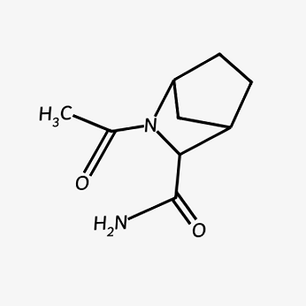 CC(=O)N1C2CCC(C2)C1C(N)=O